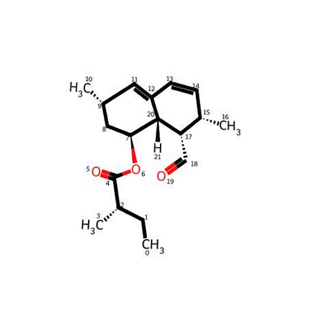 CC[C@H](C)C(=O)O[C@H]1C[C@H](C)C=C2C=C[C@H](C)[C@H](C=O)[C@@H]21